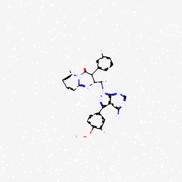 CC1=CC=CC2=NC([C@@H](C)n3nc(-c4ccc(OC(C)C)c(F)c4)c4c(N)ncnc43)C(c3cccc(F)c3)C(=O)N12